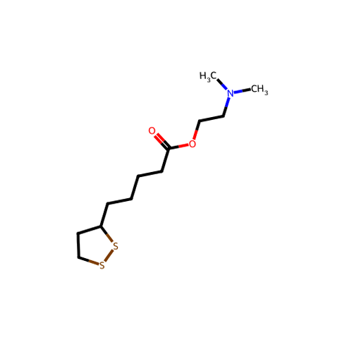 CN(C)CCOC(=O)CCCCC1CCSS1